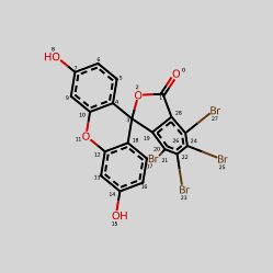 O=C1OC2(c3ccc(O)cc3Oc3cc(O)ccc32)c2c(Br)c(Br)c(Br)c(Br)c21